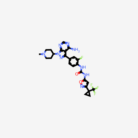 CN1CCC(n2nc(-c3ccc(NC(=O)Nc4cc(C5(C(F)(F)F)CC5)no4)c(F)c3)c3c(N)ncnc32)CC1